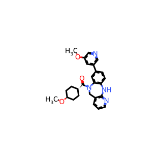 COc1cncc(-c2ccc3c(c2)N(C(=O)[C@H]2CC[C@H](OC)CC2)Cc2cccnc2N3)c1